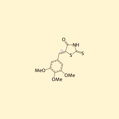 COc1cc(/C=C2\SC(=S)NC2=O)cc(OC)c1OC